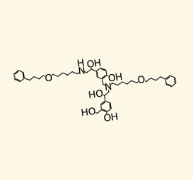 OCc1cc(C(O)CN(CCCCCCOCCCCc2ccccc2)Cc2cc(C(O)CNCCCCCCOCCCCc3ccccc3)ccc2O)ccc1O